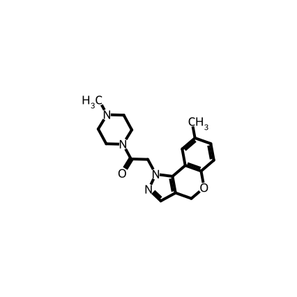 Cc1ccc2c(c1)-c1c(cnn1CC(=O)N1CCN(C)CC1)CO2